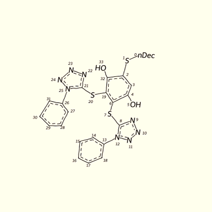 CCCCCCCCCCSc1cc(O)c(Sc2nnnn2-c2ccccc2)c(Sc2nnnn2-c2ccccc2)c1O